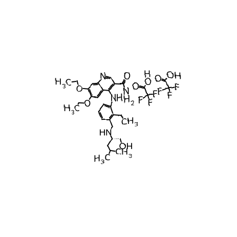 CCOc1cc2ncc(C(N)=O)c(Nc3cccc(CN[C@H](CO)CC(C)C)c3CC)c2cc1OCC.O=C(O)C(F)(F)F.O=C(O)C(F)(F)F